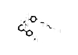 COCCNCCOc1ccc(Nc2nc3cccc(-c4ccc(OC)cc4)n3n2)cc1